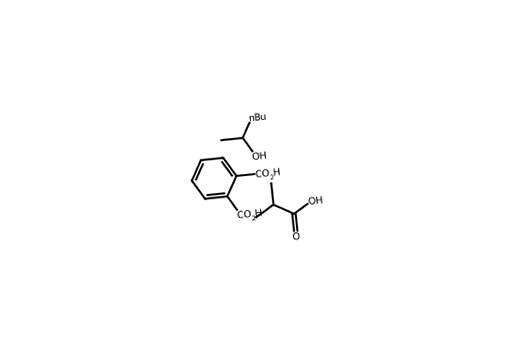 CC(C)C(=O)O.CCCCC(C)O.O=C(O)c1ccccc1C(=O)O